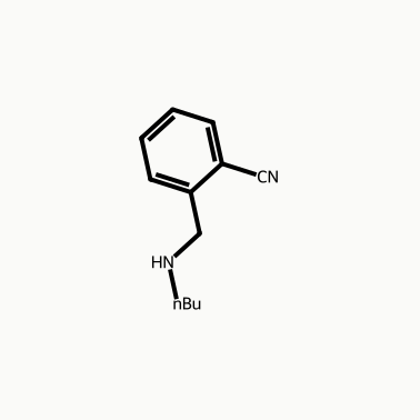 CCCCNCc1ccccc1C#N